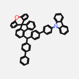 c1ccc(-c2ccc(C(c3ccc(-c4ccc(-n5c6ccccc6c6ccccc65)cc4)cc3)c3cccc4c3-c3ccccc3C43c4ccccc4Oc4ccccc43)cc2)cc1